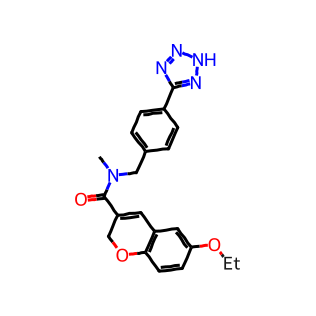 CCOc1ccc2c(c1)C=C(C(=O)N(C)Cc1ccc(-c3nn[nH]n3)cc1)CO2